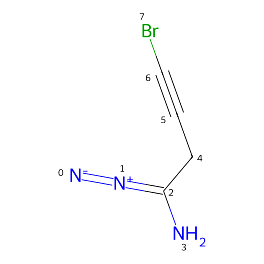 [N-]=[N+]=C(N)CC#CBr